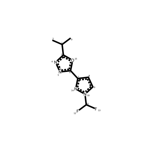 CC(C)c1nnc(-c2ccn(C(F)F)n2)o1